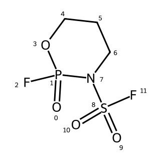 O=P1(F)OCCCN1S(=O)(=O)F